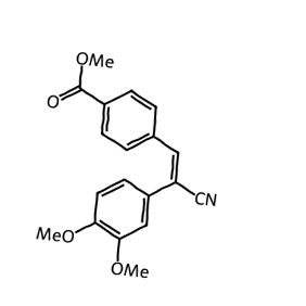 COC(=O)c1ccc(C=C(C#N)c2ccc(OC)c(OC)c2)cc1